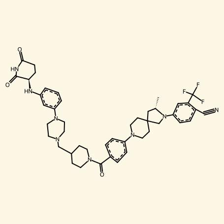 C[C@H]1CC2(CCN(c3ccc(C(=O)N4CCC(CN5CCN(c6cccc(N[C@@H]7CCC(=O)NC7=O)c6)CC5)CC4)cc3)CC2)CN1c1ccc(C#N)c(C(F)(F)F)c1